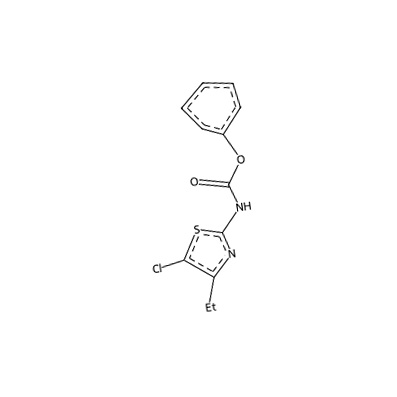 CCc1nc(NC(=O)Oc2ccccc2)sc1Cl